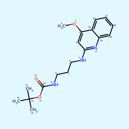 COc1cc(NCCCNC(=O)OC(C)(C)C)nc2ccccc12